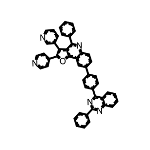 c1ccc(-c2nc(-c3ccc(-c4ccc5nc(-c6ccccc6)c6c(-c7cccnc7)c(-c7ccncc7)oc6c5c4)cc3)c3ccccc3n2)cc1